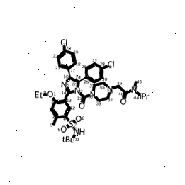 CCOc1cc(C)c(S(=O)(=O)NC(C)(C)C)cc1C1=N[C@@H](c2ccc(Cl)cc2)[C@@H](c2ccc(Cl)cc2)N1C(=O)N1CCN(CC(=O)N(C)C(C)C)CC1